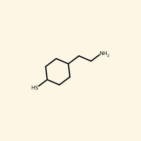 NCCC1CCC(S)CC1